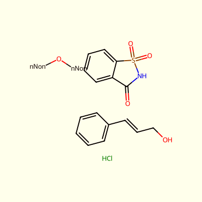 CCCCCCCCCOCCCCCCCCC.Cl.O=C1NS(=O)(=O)c2ccccc21.OCC=Cc1ccccc1